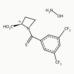 NO.O=C(O)[C@H]1CCN1C(=S)c1cc(C(F)(F)F)cc(C(F)(F)F)c1